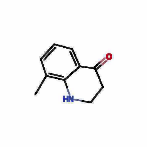 Cc1cccc2c1NCCC2=O